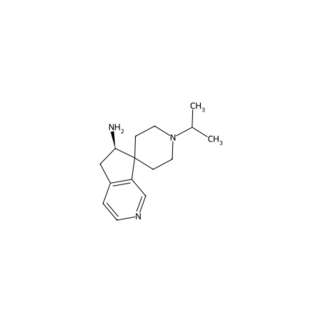 CC(C)N1CCC2(CC1)c1cnccc1C[C@H]2N